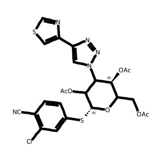 CC(=O)OCC1O[C@H](Sc2ccc(C#N)c(Cl)c2)C(OC(C)=O)C(n2cc(-c3cscn3)nn2)[C@H]1OC(C)=O